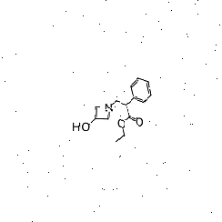 CCOC(=O)C(CN1CC(O)C1)c1ccccc1